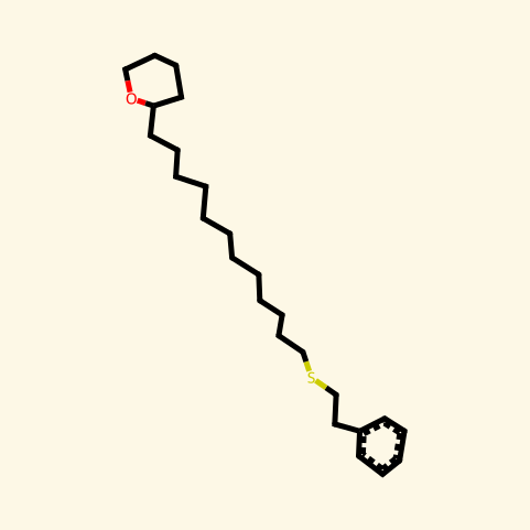 c1ccc(CCSCCCCCCCCCCCCC2CCCCO2)cc1